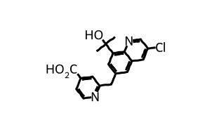 CC(C)(O)c1cc(Cc2cc(C(=O)O)ccn2)cc2cc(Cl)cnc12